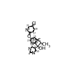 CC(C)C(O)(c1cncnc1)c1ccc(Oc2ccc(Cl)cn2)cn1